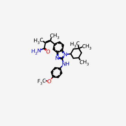 CC(C(N)=O)=C(C)c1ccc2c(c1)nc(Nc1ccc(OC(F)(F)F)cc1)n2C1CC(C)CC(C)(C)C1